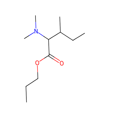 CCCOC(=O)C(C(C)CC)N(C)C